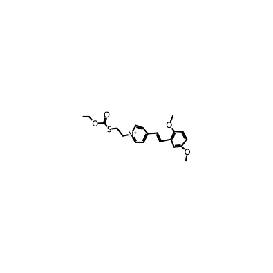 CCOC(=O)SCC[n+]1ccc(/C=C/c2cc(OC)ccc2OC)cc1